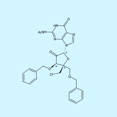 CC(=O)Nc1nc2c(ncn2[C@@H]2O[C@](CCl)(COCc3ccccc3)[C@@H](OCc3ccccc3)C2=O)c(=O)[nH]1